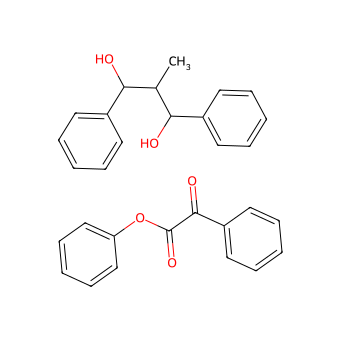 CC(C(O)c1ccccc1)C(O)c1ccccc1.O=C(Oc1ccccc1)C(=O)c1ccccc1